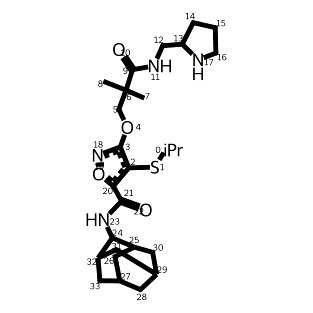 CC(C)Sc1c(OCC(C)(C)C(=O)NCC2CCCN2)noc1C(=O)NC1C2CC3CC(C2)CC1C3